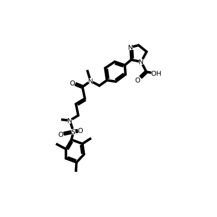 Cc1cc(C)c(S(=O)(=O)N(C)C/C=C/C(=O)N(C)Cc2ccc(C3=NCCN3C(=O)O)cc2)c(C)c1